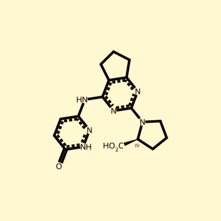 O=C(O)[C@@H]1CCCN1c1nc2c(c(Nc3ccc(=O)[nH]n3)n1)CCC2